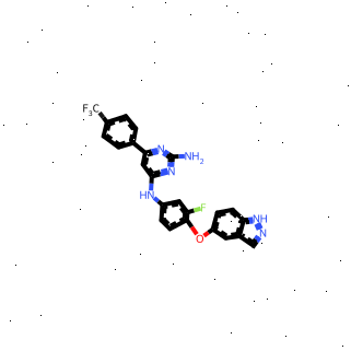 Nc1nc(Nc2ccc(Oc3ccc4[nH]ncc4c3)c(F)c2)cc(-c2ccc(C(F)(F)F)cc2)n1